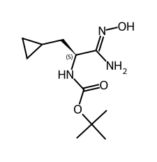 CC(C)(C)OC(=O)N[C@@H](CC1CC1)C(N)=NO